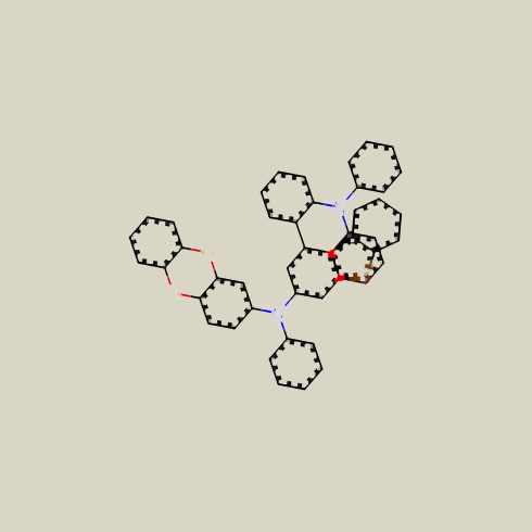 c1ccc(N(c2ccc3c(c2)Oc2ccccc2O3)c2cc(-c3ccccc3N(c3ccccc3)c3ccccc3)c3c(c2)sc2ccccc23)cc1